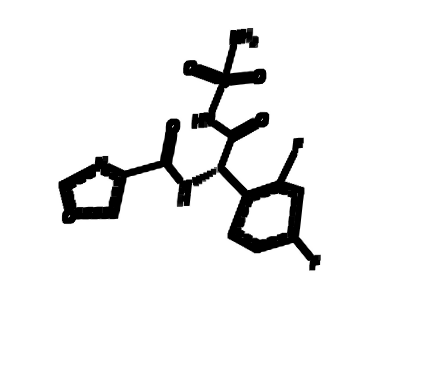 NS(=O)(=O)NC(=O)[C@@H](NC(=O)c1cocn1)c1ccc(F)cc1F